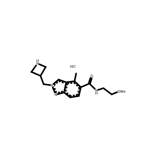 COCCNC(=O)c1ccc2nn(CC3CNC3)cc2c1C.Cl